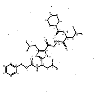 CC(C)Cc1nc(C(CC(C)C)NC(=O)OCc2ccccc2)oc1C(=O)CNC(=O)C(CC(C)C)NC(=O)N1CCOCC1